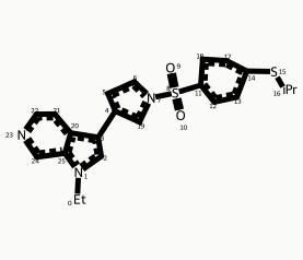 CCn1cc(-c2ccn(S(=O)(=O)c3ccc(SC(C)C)cc3)c2)c2ccncc21